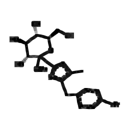 CCCc1ccc(Cc2sc(C3(OC)O[C@H](CO)[C@@H](O)[C@H](O)[C@H]3O)cc2C)cc1